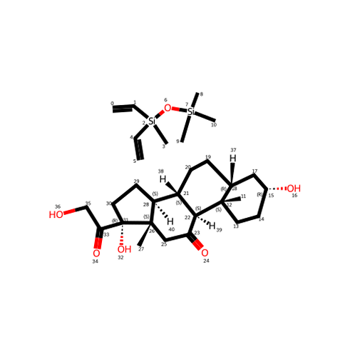 C=C[Si](C)(C=C)O[Si](C)(C)C.C[C@]12CC[C@@H](O)C[C@H]1CC[C@@H]1[C@@H]2C(=O)C[C@@]2(C)[C@H]1CC[C@]2(O)C(=O)CO